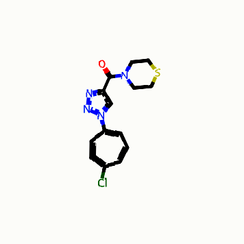 O=C(c1cn(C2=CC=CC(Cl)=C=C2)nn1)N1CCSCC1